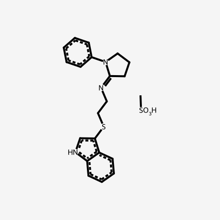 CS(=O)(=O)O.c1ccc(N2CCCC2=NCCSc2c[nH]c3ccccc23)cc1